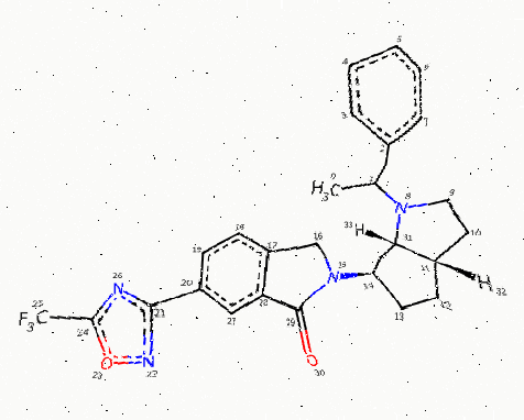 CC(c1ccccc1)N1CC[C@@H]2CC[C@@H](N3Cc4ccc(-c5noc(C(F)(F)F)n5)cc4C3=O)[C@@H]21